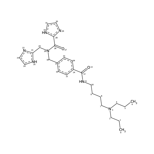 CCCN(CCC)CCCCNC(=O)c1ccc(CN(Cc2ncc[nH]2)C(=O)c2ncc[nH]2)cc1